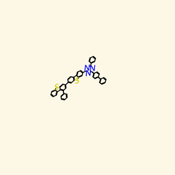 c1ccc(-c2ccc(-c3nc(-c4ccccc4)nc(-c4ccc5c(c4)sc4cc(-c6cc(-c7ccccc7)c7c(c6)sc6ccccc67)ccc45)n3)cc2)cc1